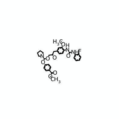 COC(=O)c1ccc(OC(OCC(=O)Cc2ccc(NC(=O)Nc3ccccc3F)c(OC)c2)N2CCCC2)cc1